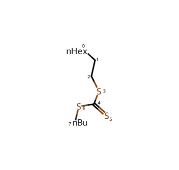 CCCCCCCCSC(=S)SCCCC